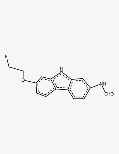 O=CNc1ccc2c(c1)[nH]c1cc(OCCF)ccc12